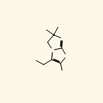 CC1(C)CN2C(=N1)SC(I)=C2CCl